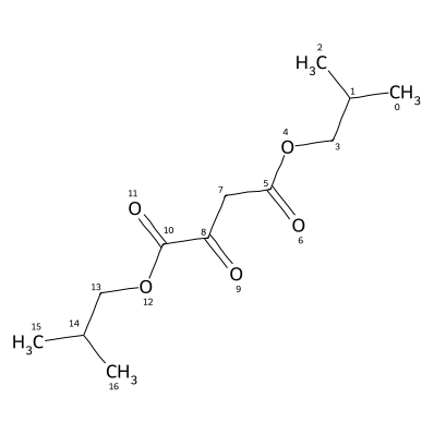 CC(C)COC(=O)CC(=O)C(=O)OCC(C)C